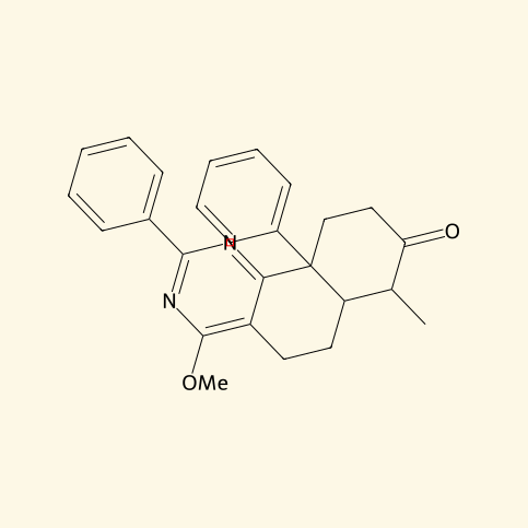 COc1nc(-c2ccccc2)nc2c1CCC1C(C)C(=O)CCC21c1ccccc1